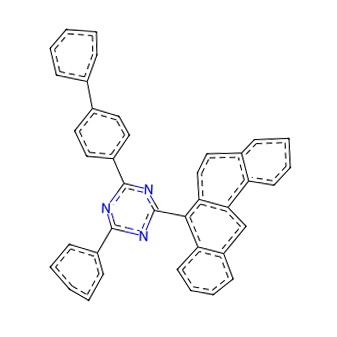 c1ccc(-c2ccc(-c3nc(-c4ccccc4)nc(-c4c5ccccc5cc5c4ccc4ccccc45)n3)cc2)cc1